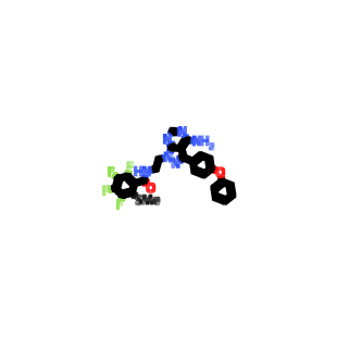 CSc1c(F)c(F)c(F)c(F)c1C(=O)NCCn1nc(-c2ccc(Oc3ccccc3)cc2)c2c(N)ncnc21